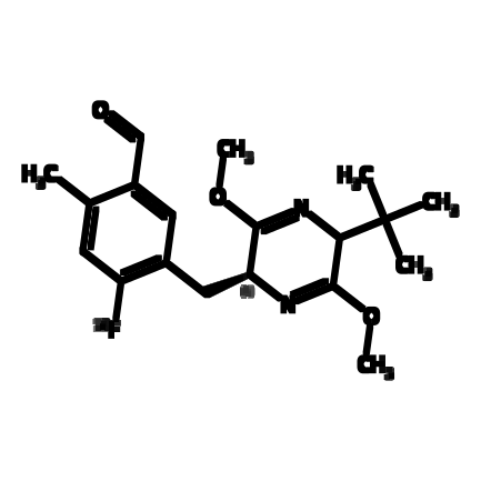 COC1=N[C@@H](Cc2cc(C=O)c(C)cc2[18F])C(OC)=NC1C(C)(C)C